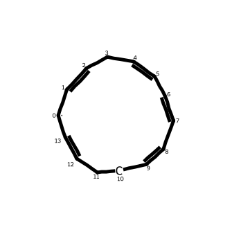 [CH]1C=CCC=CC=CC=CCCC=C1